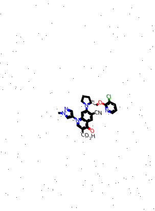 Cn1cc(-n2cc(C(=O)O)c(=O)c3cc(C#N)c(N4CCC[C@@H]4COc4ncccc4Cl)cc32)cn1